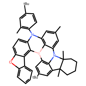 Cc1cc2c3c(c1)N1c4c(cc(C(C)(C)C)cc4C4(C)CCCCC14C)B3c1c(ccc3oc4ccccc4c13)N2c1ccc(C(C)(C)C)cc1C